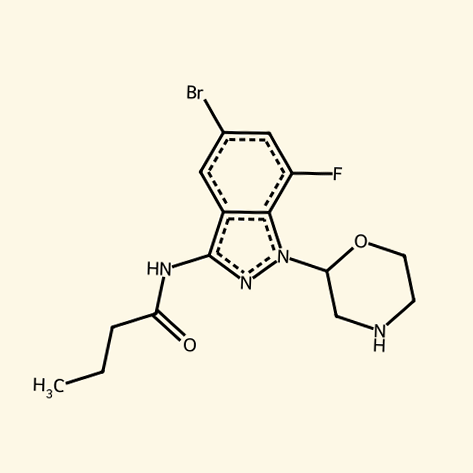 CCCC(=O)Nc1nn(C2CNCCO2)c2c(F)cc(Br)cc12